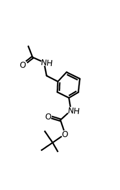 CC(=O)NCc1cccc(NC(=O)OC(C)(C)C)c1